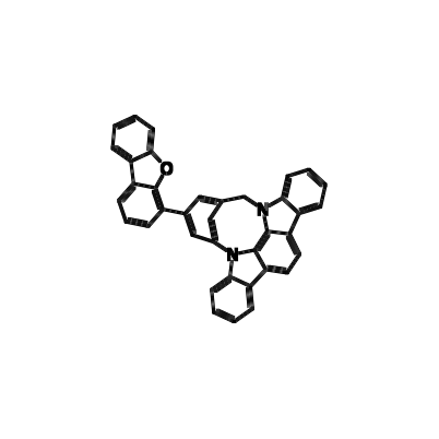 c1ccc2c(c1)oc1c(-c3cc4cc(c3)-n3c5ccccc5c5ccc6c7ccccc7n(c6c53)C4)cccc12